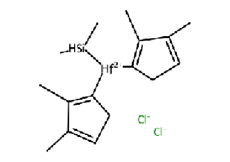 CC1=CC[C]([Hf+2]([C]2=C(C)C(C)=CC2)[SiH](C)C)=C1C.[Cl-].[Cl-]